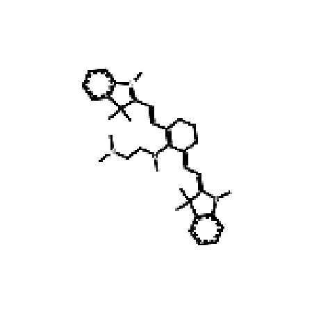 CN(C)CCN(C)C1=C(/C=C/C2=[N+](C)c3ccccc3C2(C)C)CCC/C1=C\C=C1\N(C)c2ccccc2C1(C)C